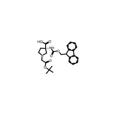 CC(C)(C)OC(=O)CN1CC[C@@](NC(=O)OCC2c3ccccc3-c3ccccc32)(C(=O)O)C1